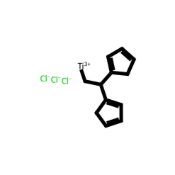 [Cl-].[Cl-].[Cl-].[Ti+3][CH2]C(C1=CC=CC1)C1=CC=CC1